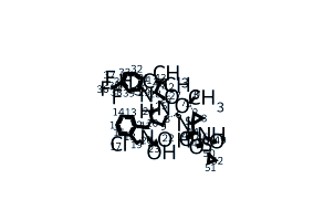 CC[C@@H]1C[C@]1(NC(=O)[C@@H]1C[C@@H](C2c3cccc(Cl)c3CN2C(=O)O)CN1C(=O)[C@@H](Nc1cccc(C(F)(F)F)c1)C(C)(C)C)C(=O)NS(=O)(=O)C1CC1